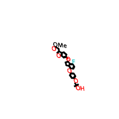 COC(=O)CC1COc2cc(O[C@@H]3CCc4c(Oc5ccc(OCC(C)(C)O)cc5)ccc(F)c43)ccc21